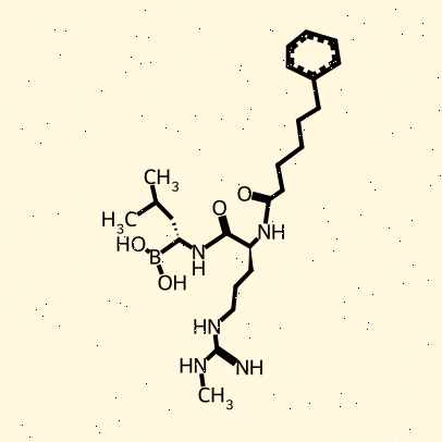 CNC(=N)NCCC[C@H](NC(=O)CCCCCc1ccccc1)C(=O)N[C@@H](CC(C)C)B(O)O